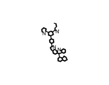 C=N/C(=C\C=C/C)c1cc(-c2ccc(-c3ccc4ccc5c(-c6cccc7ccccc67)c6ccccc6nc5c4n3)cc2)cc(-c2ccccn2)c1